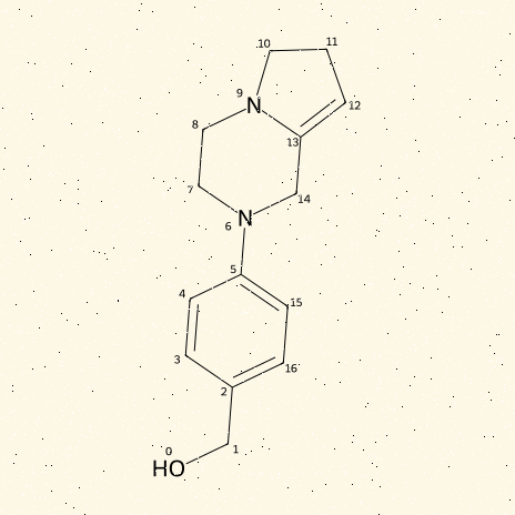 OCc1ccc(N2CCN3CCC=C3C2)cc1